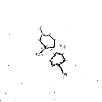 O.Oc1ccc([C@H]2CCN(Cl)C[C@@H]2O)cc1